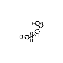 O=C(Nc1ccc(Cl)cc1)NC1CCC(c2ccnc3ccc(F)cc23)CC1